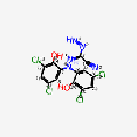 N#C/C(N=N)=N\N(c1cc(Cl)cc(Cl)c1O)c1cc(Cl)cc(Cl)c1O